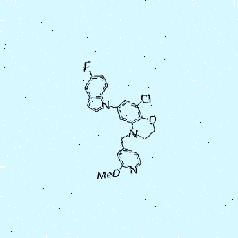 COc1cc(CN2CCOc3c(Cl)cc(-n4ccc5cc(F)ccc54)cc32)ccn1